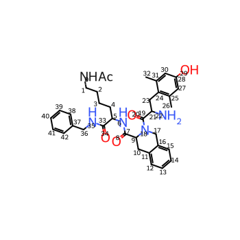 CC(=O)NCCCCC(NC(=O)C1Cc2ccccc2CN1C(=O)C(N)Cc1c(C)cc(O)cc1C)C(=O)NCc1ccccc1